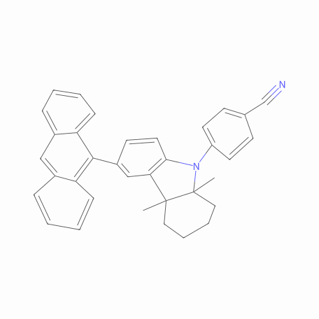 CC12CCCCC1(C)N(c1ccc(C#N)cc1)c1ccc(-c3c4ccccc4cc4ccccc34)cc12